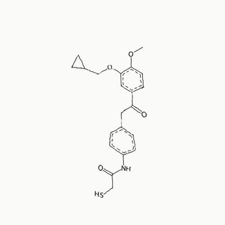 COc1ccc(C(=O)Cc2ccc(NC(=O)CS)cc2)cc1OCC1CC1